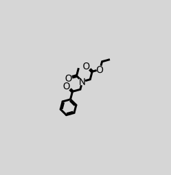 CCOC(=O)CN(CC(=O)c1ccccc1)C(C)=O